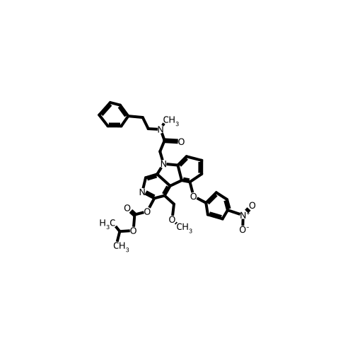 COCc1c(OC(=O)OC(C)C)ncc2c1c1c(Oc3ccc([N+](=O)[O-])cc3)cccc1n2CC(=O)N(C)CCc1ccccc1